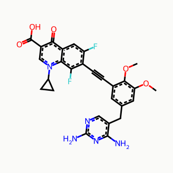 COc1cc(Cc2cnc(N)nc2N)cc(C#Cc2c(F)cc3c(=O)c(C(=O)O)cn(C4CC4)c3c2F)c1OC